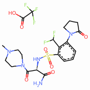 CN1CCN(C(=O)[C@@H](NS(=O)(=O)c2cccc(N3CCCC3=O)c2C(F)F)C(N)=O)CC1.O=C(O)C(F)(F)F